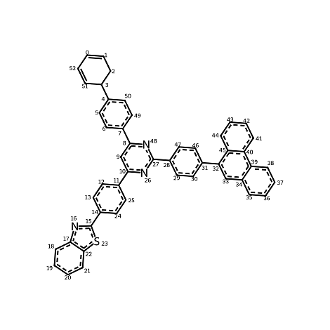 C1=CCC(c2ccc(-c3cc(-c4ccc(-c5nc6ccccc6s5)cc4)nc(-c4ccc(-c5cc6ccccc6c6ccccc56)cc4)n3)cc2)C=C1